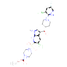 C[C@@H]1C[C@H](C(=O)c2cn(C)c3nc(S(=O)(=O)N4CCN(C(=O)OC(C)(C)C)CC4)c(Cl)cc23)CCN1c1ncc(F)cc1Cl